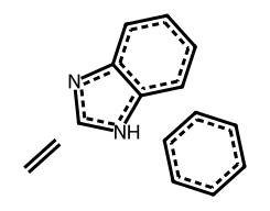 C=C.c1ccc2[nH]cnc2c1.c1ccccc1